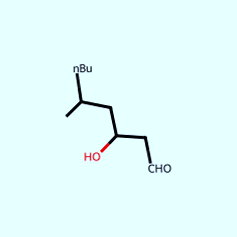 CCCCC(C)CC(O)CC=O